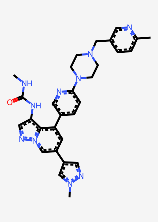 CNC(=O)Nc1cnn2cc(-c3cnn(C)c3)cc(-c3ccc(N4CCN(Cc5ccc(C)nc5)CC4)nc3)c12